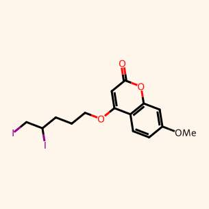 COc1ccc2c(OCCCC(I)CI)cc(=O)oc2c1